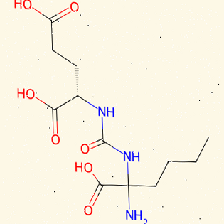 CCCCC(N)(NC(=O)N[C@@H](CCC(=O)O)C(=O)O)C(=O)O